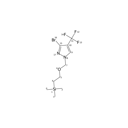 C[Si](C)(C)CCOCn1cc(C(F)(F)F)c(Br)n1